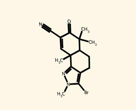 Cn1nc2c(c1Br)CCC1C(C)(C)C(=O)C(C#N)=CC21C